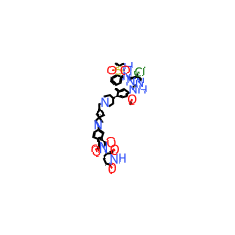 COc1cc(C2CCN(CC3CC4(C3)CN(c3ccc5c(c3)C(=O)N(C3CCC(=O)NC3=O)C5=O)C4)CC2)c(C)cc1Nc1ncc(Cl)c(Nc2ccccc2S(=O)(=O)C(C)C)n1